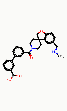 CNCc1ccc2c(c1)C1(CCN(C(=O)c3cccc(-c4cccc(B(O)O)c4)c3)CC1)CO2